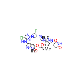 CNC(=O)COc1cc2cc(Nc3nc(N4CC[C@@H](CN5CCN(c6cccc7c([C@H]8CCC(=O)NC8=O)nn(C)c67)CC5)[C@H](F)C4)ncc3Cl)cnc2n(C(C)C)c1=O